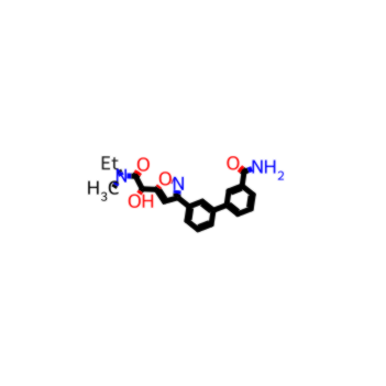 CCN(C)C(=O)C(O)c1cc(-c2cccc(-c3cccc(C(N)=O)c3)c2)no1